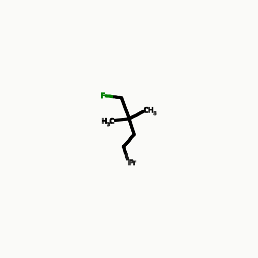 CC(C)CCC(C)(C)CF